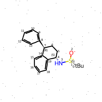 CC(C)(C)[S@@+]([O-])N[C@H]1CC[C@H](c2ccccc2)c2ccccc21